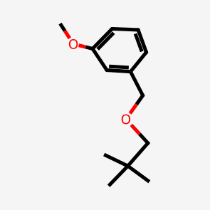 COc1cccc(COCC(C)(C)C)c1